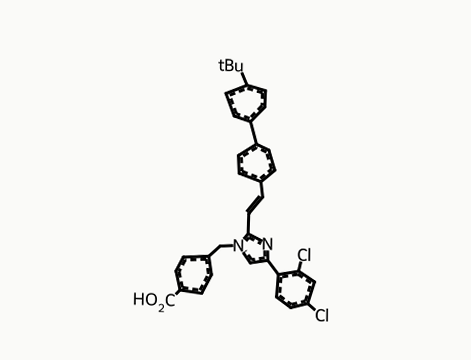 CC(C)(C)c1ccc(-c2ccc(C=Cc3nc(-c4ccc(Cl)cc4Cl)cn3Cc3ccc(C(=O)O)cc3)cc2)cc1